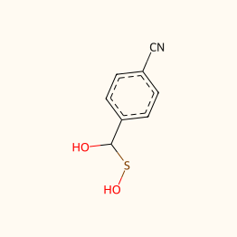 N#Cc1ccc(C(O)SO)cc1